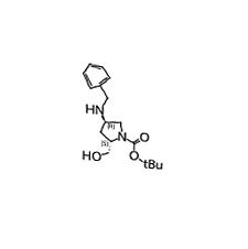 CC(C)(C)OC(=O)N1C[C@H](NCc2ccccc2)C[C@H]1CO